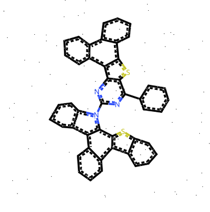 c1ccc(-c2nc(-n3c4ccccc4c4c5ccccc5c5c6ccccc6sc5c43)nc3c2sc2c4ccccc4c4ccccc4c32)cc1